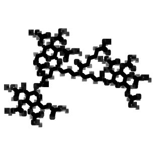 CC(=O)NC1C(OC(C)=O)[C@@H](OC(C)=O)C(COC(C)=O)O[C@H]1ONCCCN(CCCN(CCCNO[C@@H]1OC(COC(C)=O)[C@H](OC(C)=O)C(OC(C)=O)[C@@H]1NC(C)=O)C(=O)CCCCC(=O)O)O[C@@H]1OC(COC(C)=O)[C@H](OC(C)=O)C(OC(C)=O)C1NC(C)=O